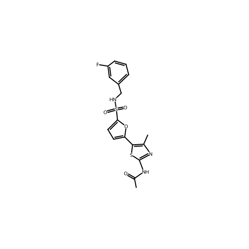 CC(=O)Nc1nc(C)c(-c2ccc(S(=O)(=O)NCc3cccc(F)c3)o2)s1